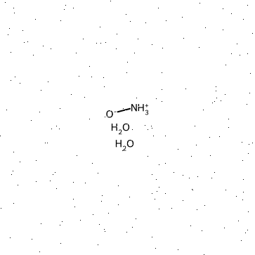 O.O.[NH3+][O-]